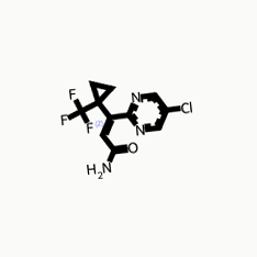 NC(=O)/C=C(\c1ncc(Cl)cn1)C1(C(F)(F)F)CC1